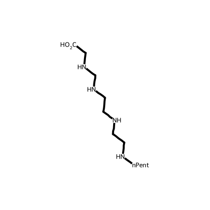 CCCCCNCCNCCNCNCC(=O)O